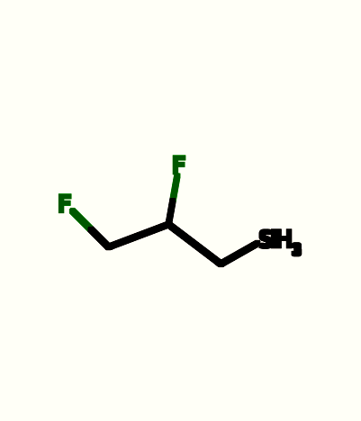 FCC(F)C[SiH3]